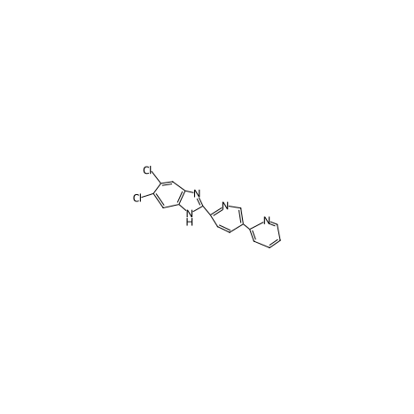 Clc1cc2nc(-c3ccc(-c4ccccn4)cn3)[nH]c2cc1Cl